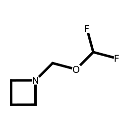 FC(F)OCN1CCC1